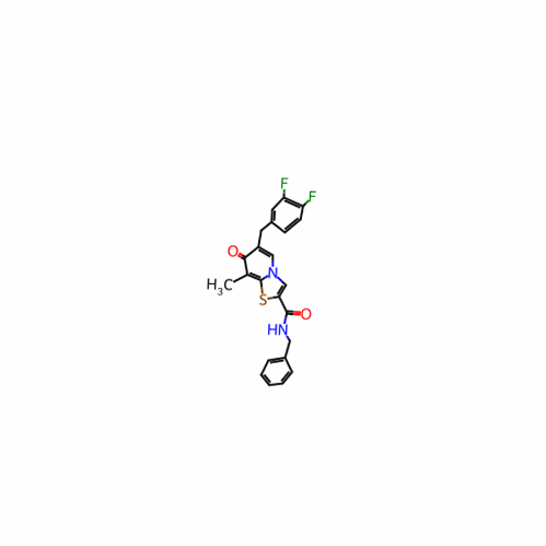 Cc1c(=O)c(Cc2ccc(F)c(F)c2)cn2cc(C(=O)NCc3ccccc3)sc12